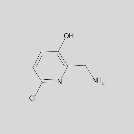 NCc1nc(Cl)ccc1O